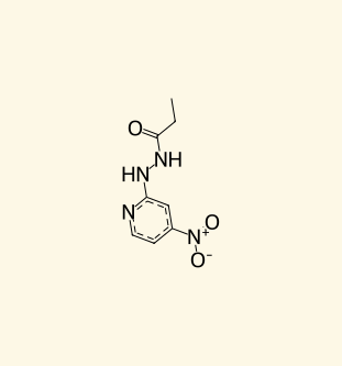 CCC(=O)NNc1cc([N+](=O)[O-])ccn1